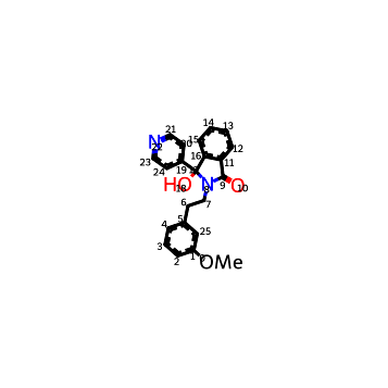 COc1cccc(CCN2C(=O)c3ccccc3C2(O)c2ccncc2)c1